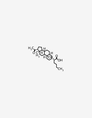 CCCCC(C(=O)O)[C@@H]1CC[C@@]2(C)[C@@H](CC[C@@H]3[C@@H]2CC[C@]2(C)[C@@H](C(C)=O)CC[C@@H]32)C1